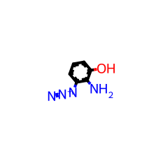 [N-]=[N+]=Nc1cccc(O)c1N